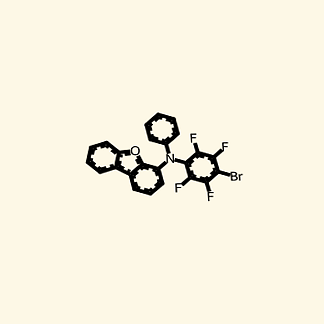 Fc1c(F)c(N(c2ccccc2)c2cccc3c2oc2ccccc23)c(F)c(F)c1Br